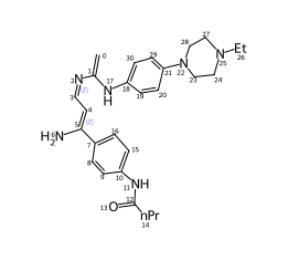 C=C(/N=C\C=C(/N)c1ccc(NC(=O)CCC)cc1)Nc1ccc(N2CCN(CC)CC2)cc1